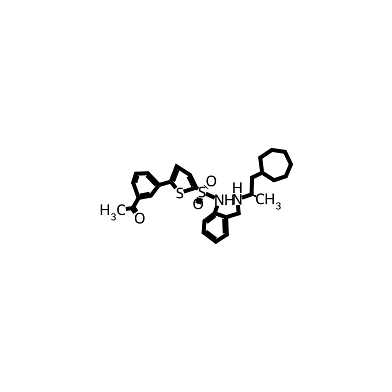 CC(=O)c1cccc(-c2ccc(S(=O)(=O)Nc3ccccc3CN[C@@H](C)CC3CCCCCC3)s2)c1